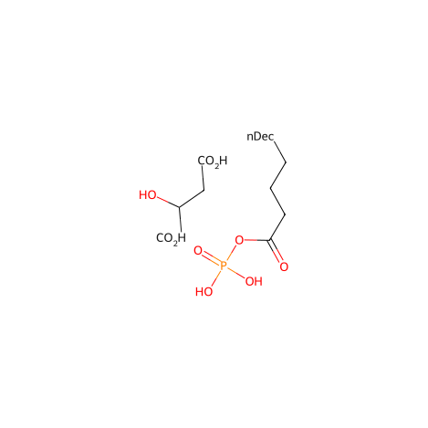 CCCCCCCCCCCCCC(=O)OP(=O)(O)O.O=C(O)CC(O)C(=O)O